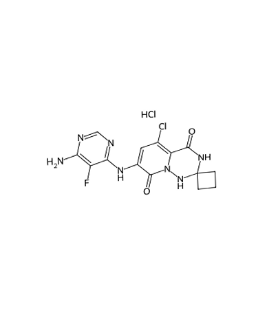 Cl.Nc1ncnc(Nc2cc(Cl)c3n(c2=O)NC2(CCC2)NC3=O)c1F